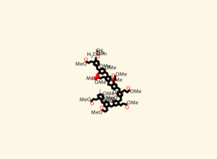 COC(=O)CCc1cc(Cc2cc(OC)c(Cc3cc(OC)c(Cc4cc(OC)c(Cc5cc(OC)c(Cc6cc(OC)c(Cc7cc(OC)c(Cc8cc(OC)c(I)cc8CCC(=O)OC)cc7CCC(=O)OC)cc6CCC(=O)OC)cc5CCC(=O)OC)cc4CCC(=O)OC)cc3CCC(=O)OC)cc2CCC(=O)OC)c(OC)cc1CO[Si](C)(C)C(C)(C)C